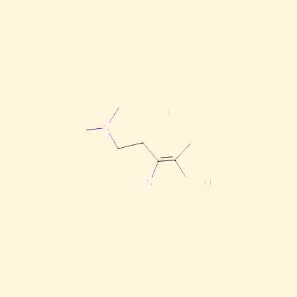 CC(C(=O)O)=C(N)CCN(C)C.Cl